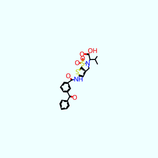 CC(C)C(C(=O)O)N1Cc2cc(NC(=O)c3cccc(C(=O)c4ccccc4)c3)sc2S1(=O)=O